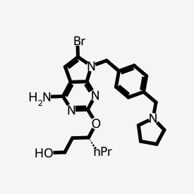 CCC[C@H](CCO)Oc1nc(N)c2cc(Br)n(Cc3ccc(CN4CCCC4)cc3)c2n1